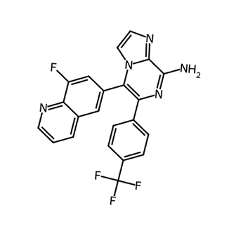 Nc1nc(-c2ccc(C(F)(F)F)cc2)c(-c2cc(F)c3ncccc3c2)n2ccnc12